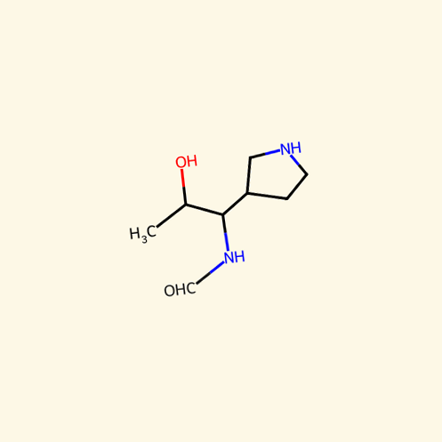 CC(O)C(NC=O)C1CCNC1